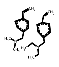 C=Cc1ccc(CN(C)C)cc1.C=Cc1ccc(CN(CC)CC)cc1